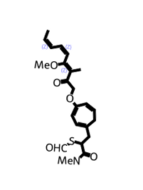 C\C=C/C=C\C(OC)=C(/C)C(=O)COC1=CC=C(CC(SC=O)C(=O)NC)CC=C1